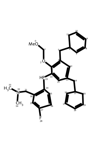 COCOc1c(CC2C=CC=CC2)cc(CC2C=CC=CC2)cc1Pc1ccc(F)cc1CN(C)C